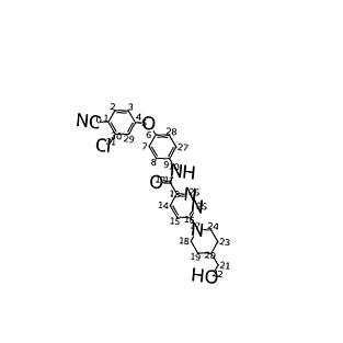 N#Cc1ccc(Oc2ccc(NC(=O)c3ccc(N4CCC(CO)CC4)nn3)cc2)cc1Cl